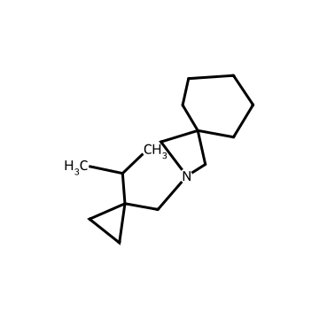 CC(C)C1(CN2CC3(CCCCC3)C2)CC1